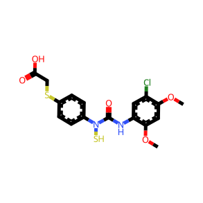 COc1cc(OC)c(NC(=O)N(S)c2ccc(SCC(=O)O)cc2)cc1Cl